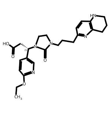 CCOc1ccc([C@H](CC(=O)O)N2CCN(CCCc3ccc4c(n3)CCCN4)C2=O)cn1